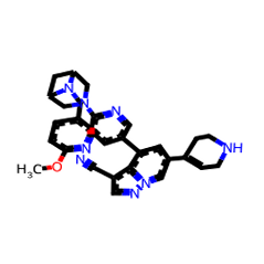 COc1ccc(CN2C3CC2CN(c2ccc(-c4cc(C5=CCNCC5)cn5ncc(C#N)c45)cn2)C3)cn1